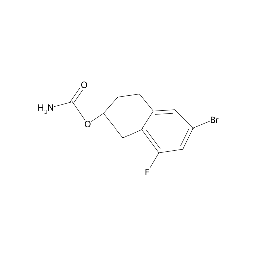 NC(=O)OC1CCc2cc(Br)cc(F)c2C1